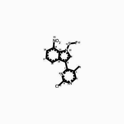 Cc1cnc(Cl)nc1-c1cn(SF)c2c([N+](=O)[O-])cccc12